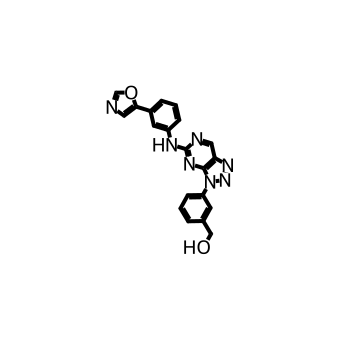 OCc1cccc(-n2nnc3cnc(Nc4cccc(-c5cnco5)c4)nc32)c1